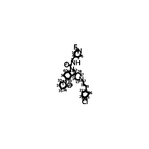 O=C(NCc1ccnc(F)c1)N1CC2(CCN(CC=Cc3ccc(Cl)cc3)CC2)c2cc(-n3ccccc3=O)ccc21